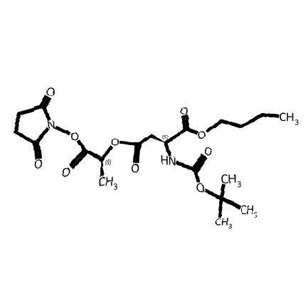 CCCCOC(=O)[C@H](CC(=O)O[C@@H](C)C(=O)ON1C(=O)CCC1=O)NC(=O)OC(C)(C)C